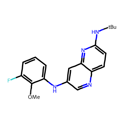 COc1c(F)cccc1Nc1cnc2ccc(NC(C)(C)C)nc2c1